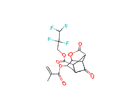 C=C(C)C(=O)OC1C2OC(=O)C3C2C(=O)C1C3C(=O)OCC(F)(F)C(F)F